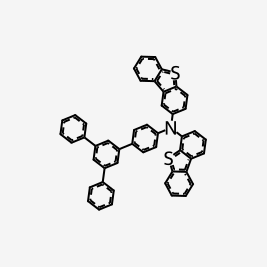 c1ccc(-c2cc(-c3ccccc3)cc(-c3ccc(N(c4ccc5sc6ccccc6c5c4)c4cccc5c4sc4ccccc45)cc3)c2)cc1